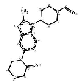 Nc1nc2cc(N3CCOCC3=O)ccc2n1C1CCN(C=O)CC1